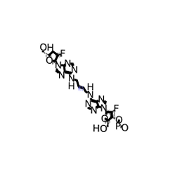 O=PO[C@H]1[C@@H](F)[C@H](n2cnc3c(NC/C=C/CNc4ncnc5c4ncn5[C@@H]4O[C@H](CO)C[C@H]4F)ncnc32)O[C@@H]1CO